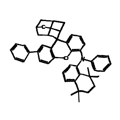 CC1(C)CCC(C)(C)c2c(N(c3ccccc3)c3cccc4c3Oc3ccc(-c5ccccc5)cc3C43C4CC5CC6CC3C64C5)cccc21